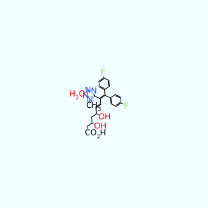 Cn1nnnc1C(C=CC(O)CC(O)CC(=O)O)=C(c1ccc(F)cc1)c1ccc(F)cc1.O